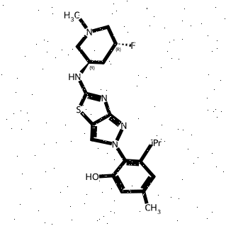 Cc1cc(O)c(-n2cc3sc(N[C@@H]4C[C@@H](F)CN(C)C4)nc3n2)c(C(C)C)c1